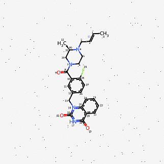 C/C=C/CN1CCN(C(=O)c2cc(Cn3c(=O)[nH]c(=O)c4ccccc43)ccc2F)C[C@H]1C